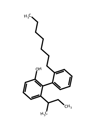 CCCCCCCc1ccccc1-c1c(O)cccc1C(C)CC